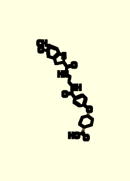 COc1ccc2c(c1)CC(C(=O)NCCNC(=O)c1ccc(O[C@H]3CC[C@@H](C(=O)O)CC3)cc1)S2